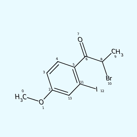 COc1ccc(C(=O)C(C)Br)c(I)c1